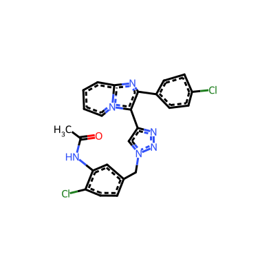 CC(=O)Nc1cc(Cn2cc(-c3c(-c4ccc(Cl)cc4)nc4ccccn34)nn2)ccc1Cl